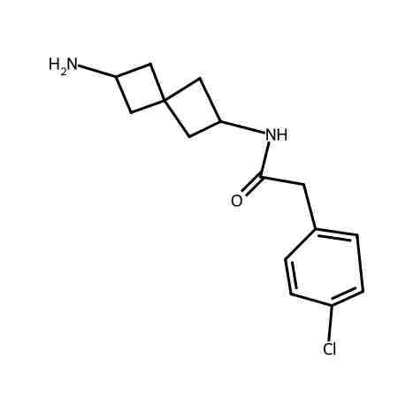 NC1CC2(C1)CC(NC(=O)Cc1ccc(Cl)cc1)C2